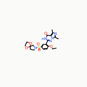 CCOc1ccc(S(=O)(=O)N2CCC3(C2)OCCO3)cc1-c1nn2c(C)nc(C)c2c(=O)[nH]1